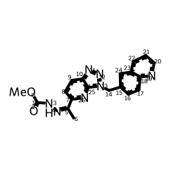 COC(=O)N/N=C(/C)c1ccc2nnn(Cc3ccc4ncccc4c3)c2n1